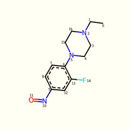 CCN1CCN(c2ccc(N=O)cc2F)CC1